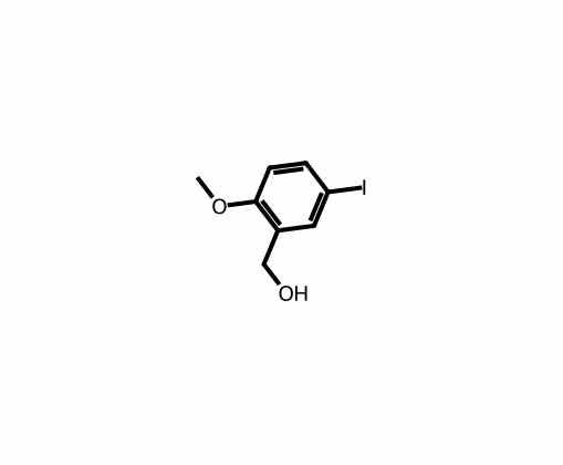 COc1ccc(I)cc1CO